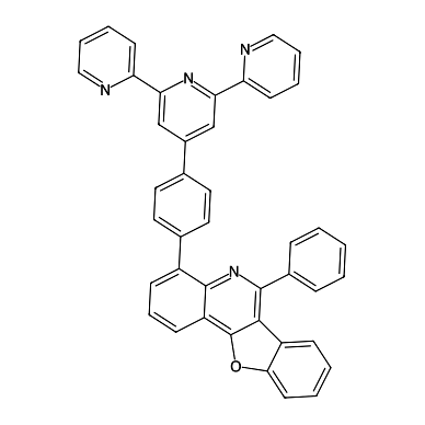 c1ccc(-c2nc3c(-c4ccc(-c5cc(-c6ccccn6)nc(-c6ccccn6)c5)cc4)cccc3c3oc4ccccc4c23)cc1